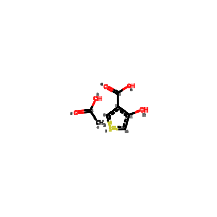 CC(=O)O.O=C(O)c1cscc1O